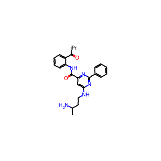 CC(N)CCNc1cc(C(=O)Nc2ccccc2C(=O)C(C)C)nc(-c2ccccc2)n1